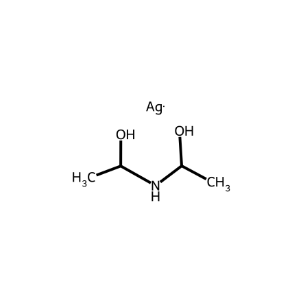 CC(O)NC(C)O.[Ag]